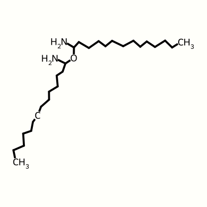 CCCCCCCCCCCCCC(N)OC(N)CCCCCCCCCCCCC